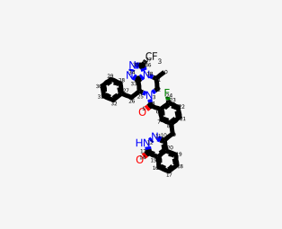 CC1CN(C(=O)c2cc(Cc3n[nH]c(=O)c4ccccc34)ccc2F)C(Cc2ccccc2)c2nnc(C(F)(F)F)n21